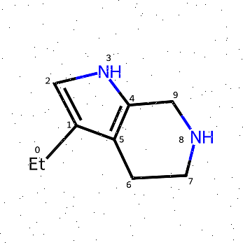 CCc1c[nH]c2c1CCNC2